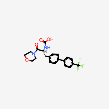 O=C(O)N[C@H](Cc1ccc(-c2ccc(C(F)(F)F)cc2)cc1)C(=O)N1CCOCC1